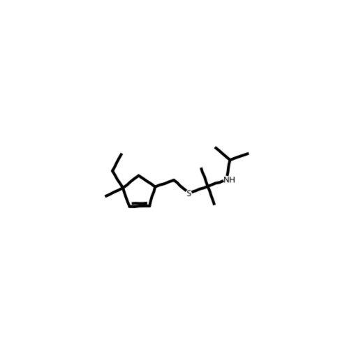 CCC1(C)C=CC(CSC(C)(C)NC(C)C)C1